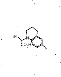 CC(C)C(C(=O)O)N1CCCc2cc(F)ccc21